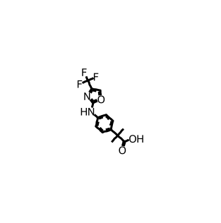 CC(C)(C(=O)O)c1ccc(Nc2nc(C(F)(F)F)co2)cc1